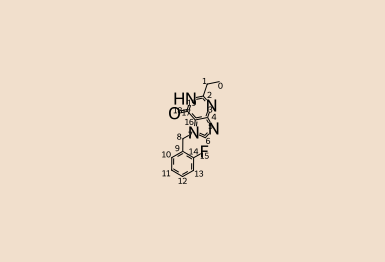 CCc1nc2ncn(Cc3ccccc3F)c2c(=O)[nH]1